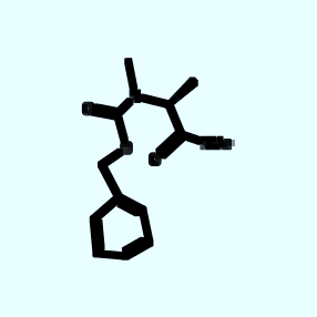 C[N]C(=O)[C@H](C)N(C)C(=O)OCc1ccccc1